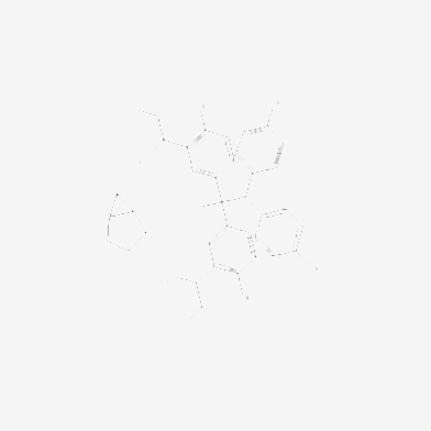 C1CC2CC2C1.CCC(C)c1cc(C(C)(c2ccc(O)c(C(C)CC)c2)C(c2ccc(O)cc2)c2ccc(O)cc2)ccc1O